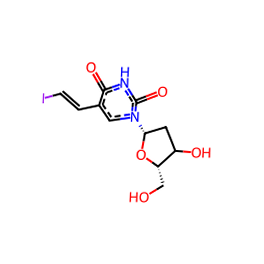 O=c1[nH]c(=O)n([C@@H]2CC(O)[C@H](CO)O2)cc1C=CI